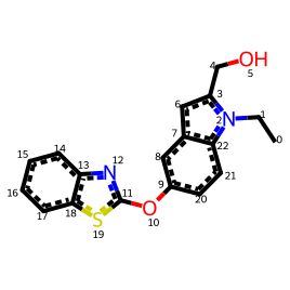 CCn1c(CO)cc2cc(Oc3nc4ccccc4s3)ccc21